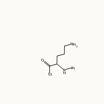 CCC(=O)C(CCCN)NC(C)C